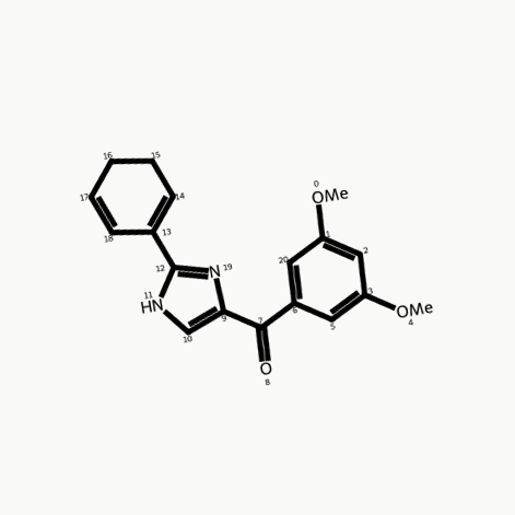 COc1cc(OC)cc(C(=O)c2c[nH]c(C3=CCCC=C3)n2)c1